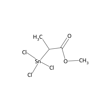 COC(=O)[CH](C)[Sn]([Cl])([Cl])[Cl]